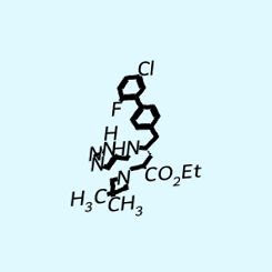 CCOC(=O)[C@@H](C[C@@H](Cc1ccc(-c2cc(Cl)ccc2F)cc1)NCc1cnn[nH]1)CN1CC(C)(C)C1